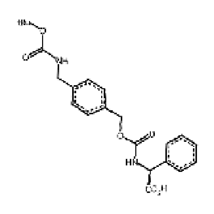 CC(C)(C)OC(=O)NCc1ccc(COC(=O)N[C@H](C(=O)O)c2ccccc2)cc1